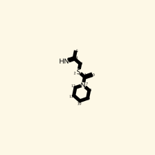 C=C(SCC(C)=N)N1CCCCC1